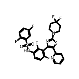 O=S(=O)(Nc1ccc(F)c(-c2nc(N3CCC(F)(F)CC3)sc2-c2ccccn2)c1F)c1cc(F)ccc1F